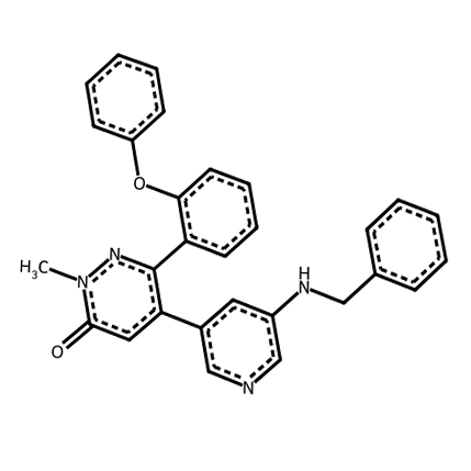 Cn1nc(-c2ccccc2Oc2ccccc2)c(-c2cncc(NCc3ccccc3)c2)cc1=O